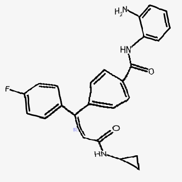 Nc1ccccc1NC(=O)c1ccc(/C(=C\C(=O)NC2CC2)c2ccc(F)cc2)cc1